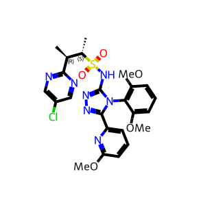 COc1cccc(-c2nnc(NS(=O)(=O)[C@@H](C)[C@H](C)c3ncc(Cl)cn3)n2-c2c(OC)cccc2OC)n1